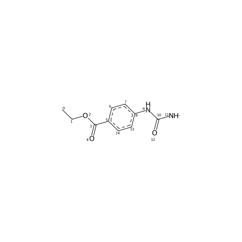 CCOC(=O)c1ccc(NC([NH])=O)cc1